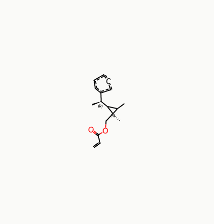 C=CC(=O)OC[C@]1(C)C(C)C1[C@@H](C)c1ccccc1